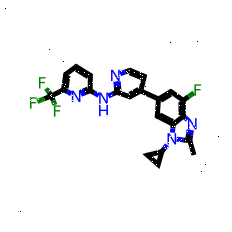 Cc1nc2c(F)cc(-c3ccnc(Nc4cccc(C(F)(F)F)n4)c3)cc2n1C1CC1